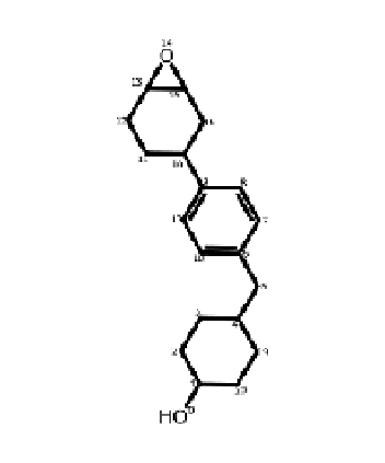 OC1CCC(Cc2ccc(C3CCC4OC4C3)cc2)CC1